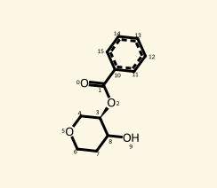 O=C(O[C@@H]1COCCC1O)c1ccccc1